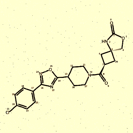 O=C1N[C@]2(CO1)C[C@H](C(=O)N1CCC(c3nc(-c4ccc(Cl)cc4)no3)CC1)C2